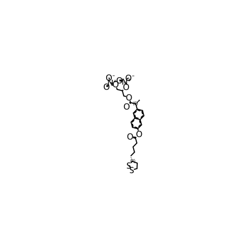 C[C@H](C(=O)OCC(CO[N+](=O)[O-])O[N+](=O)[O-])c1ccc2cc(OC(=O)CCCC[C@@H]3CCSS3)ccc2c1